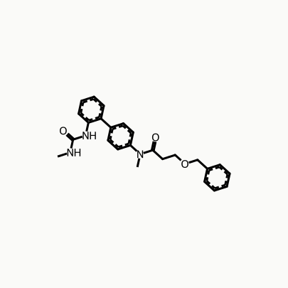 CNC(=O)Nc1ccccc1-c1ccc(N(C)C(=O)CCOCc2ccccc2)cc1